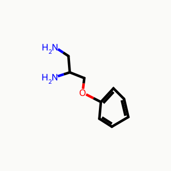 NCC(N)COc1ccccc1